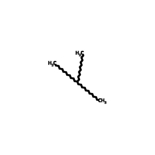 CCCCCCCCCCCC[C](CCCCCCCCCCCC)CCCCCCCCCCCC